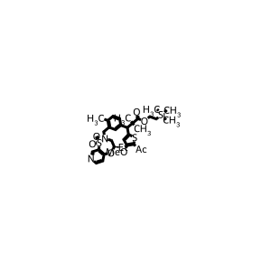 CC[C@@H]1CN(Cc2cc(C(c3cc(OC)c(C(C)=O)s3)C(C)(C)C(=O)OCC[Si](C)(C)C)ccc2C)S(=O)(=O)c2cnccc2O1